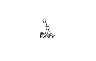 CC(C)OC(=O)C(Cc1ccc(OCc2ccccc2)cc1)O[Si](C)(C)C(C)(C)C